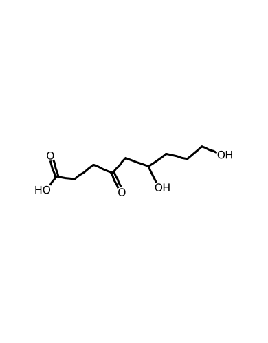 O=C(O)CCC(=O)CC(O)CCCO